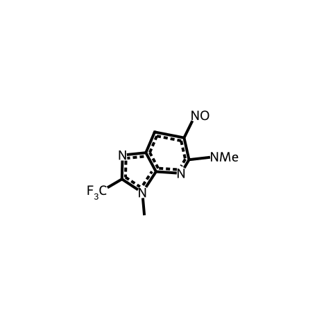 CNc1nc2c(cc1N=O)nc(C(F)(F)F)n2C